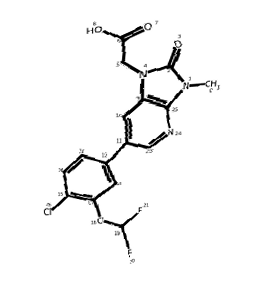 Cn1c(=O)n(CC(=O)O)c2cc(-c3ccc(Cl)c(OC(F)F)c3)cnc21